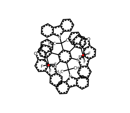 CC(C)(c1c(-c2ccccc2C(F)(F)F)c(-n2c3ccccc3c3ccc4oc5ccccc5c4c32)c(C(C)(C)n2c3ccccc3c3ccccc32)c(-n2c3ccccc3c3ccc4oc5ccccc5c4c32)c1-c1ccccc1C(F)(F)F)n1c2ccccc2c2ccccc21